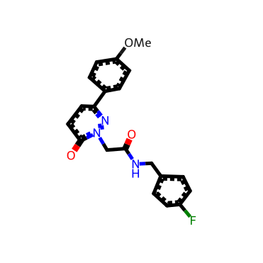 COc1ccc(-c2ccc(=O)n(CC(=O)NCc3ccc(F)cc3)n2)cc1